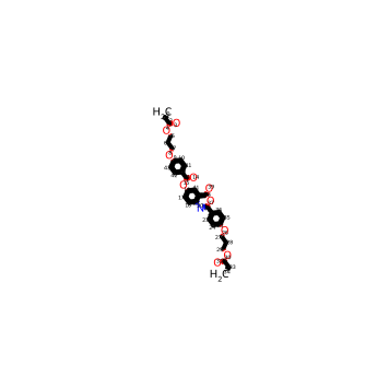 C=CC(=O)OCCCOc1ccc(C(=O)Oc2ccc3nc(-c4ccc(OCCCOC(=O)C=C)cc4)oc(=O)c3c2)cc1